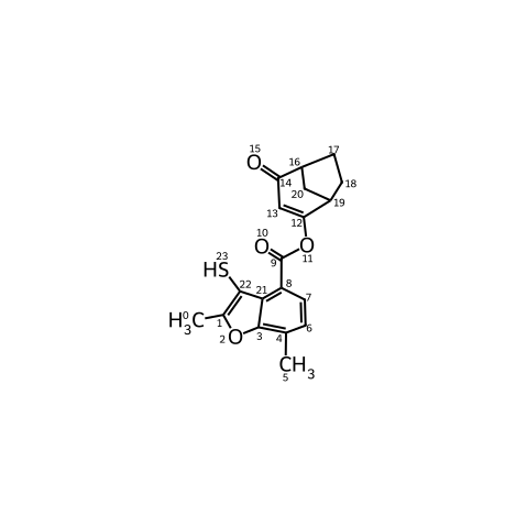 Cc1oc2c(C)ccc(C(=O)OC3=CC(=O)C4CCC3C4)c2c1S